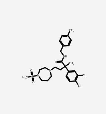 CC(CCN1CCCN(S(C)(=O)=O)CC1)(C(=O)NCc1ccc(C(F)(F)F)cc1)c1ccc(Cl)c(Cl)c1